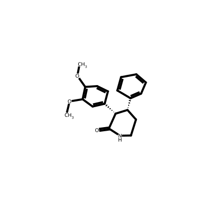 COc1ccc([C@H]2C(=O)NCC[C@H]2c2ccccc2)cc1OC